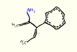 C=C(N)/C(=C\C)c1ccccc1